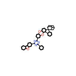 c1ccc(-c2nc(-c3ccc4c(c3)Oc3c(ccc5c3-c3ccccc3C53C5CC6CC(C5)CC3C6)O4)nc(-c3ccc4c(c3)oc3ccccc34)n2)cc1